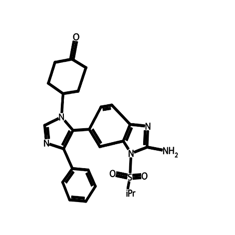 CC(C)S(=O)(=O)n1c(N)nc2ccc(-c3c(-c4ccccc4)ncn3C3CCC(=O)CC3)cc21